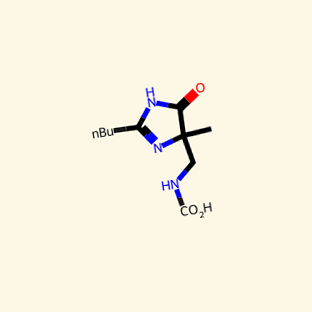 CCCCC1=NC(C)(CNC(=O)O)C(=O)N1